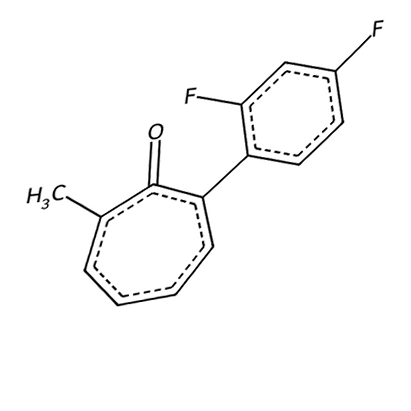 Cc1ccccc(-c2ccc(F)cc2F)c1=O